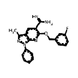 Cc1nn(-c2ccccc2)c2nc(OCc3cccc(F)c3)c(C(=N)N)cc12